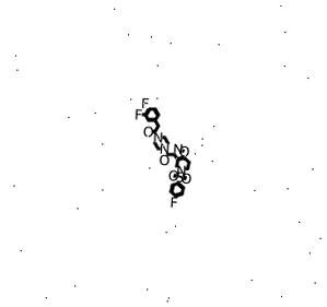 O=C(Cc1ccc(F)c(F)c1)N1CCN(C(=O)c2noc3c2CN(S(=O)(=O)c2ccc(F)cc2)CC3)CC1